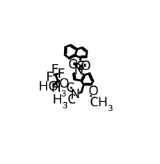 CCOc1ccc2c(ccn2S(=O)(=O)c2cccc3ccccc23)c1CN(C)C.O=C(O)C(F)(F)F